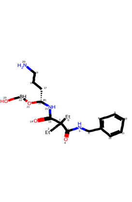 CCC(CC)(C(=O)NCc1ccccc1)C(=O)N[C@@H](CCCN)OBO